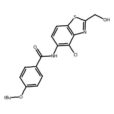 CC(C)(C)Oc1ccc(C(=O)Nc2ccc3sc(CO)nc3c2Cl)cc1